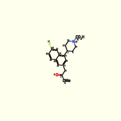 COC(=O)Cc1cc(C2CCN(C(=O)O)CC2)c2cc(F)ccc2c1